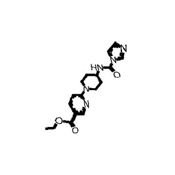 CCOC(=O)c1ccc(N2CCC(NC(=O)n3ccnc3)CC2)nc1